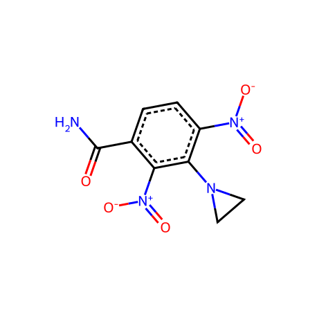 NC(=O)c1ccc([N+](=O)[O-])c(N2CC2)c1[N+](=O)[O-]